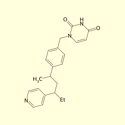 CCC(CC(C)c1ccc(Cn2ccc(=O)[nH]c2=O)cc1)c1ccncc1